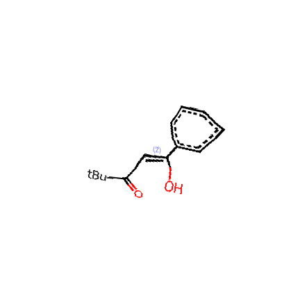 CC(C)(C)C(=O)/C=C(\O)c1ccccc1